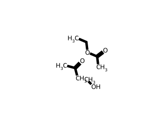 CC(C)=O.CCOC(C)=O.CO